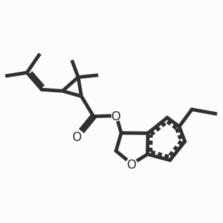 CCc1ccc2c(c1)C(OC(=O)C1C(C=C(C)C)C1(C)C)CO2